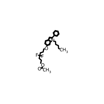 CCCCCn1c(-c2ccccc2)cc2ccc(OCCCC(F)(F)CCCOC(C)=O)cc21